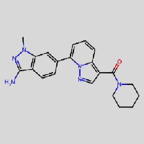 Cn1nc(N)c2ccc(-c3cccc4c(C(=O)N5CCCCC5)cnn34)cc21